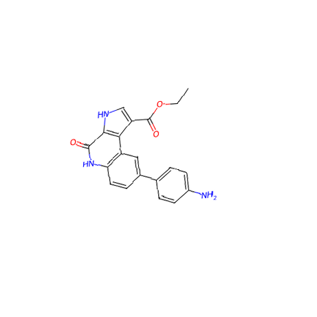 CCOC(=O)c1c[nH]c2c(=O)[nH]c3ccc(-c4ccc(N)cc4)cc3c12